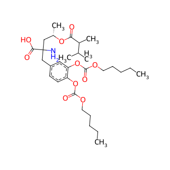 CCCCCOC(=O)Oc1ccc(CC(N)(C[C@H](C)OC(=O)C(C)C(C)C)C(=O)O)cc1OC(=O)OCCCCC